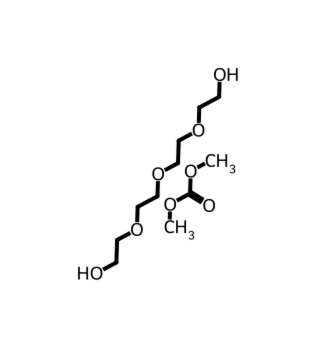 COC(=O)OC.OCCOCCOCCOCCO